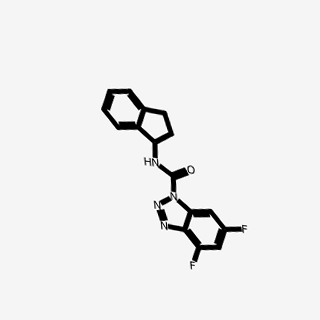 O=C(NC1CCc2ccccc21)n1nnc2c(F)cc(F)cc21